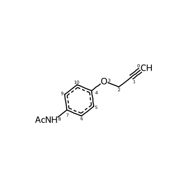 C#CCOc1ccc(NC(C)=O)cc1